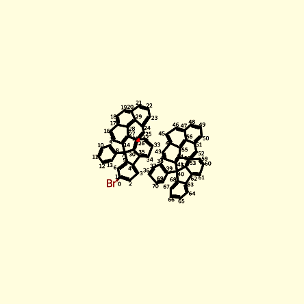 Brc1ccc2c(c1)C(c1ccccc1)(c1ccc3ccc4cccc5ccc1c3c45)c1ccccc1-2.c1ccc(C2(c3ccc4ccc5cccc6ccc3c4c56)c3ccccc3-c3ccccc32)cc1